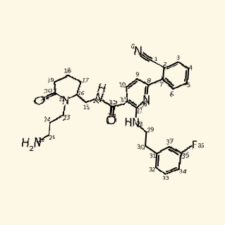 N#Cc1ccccc1-c1ccc(C(=O)NCC2CCCC(=O)N2CCCN)c(NCCc2cccc(F)c2)n1